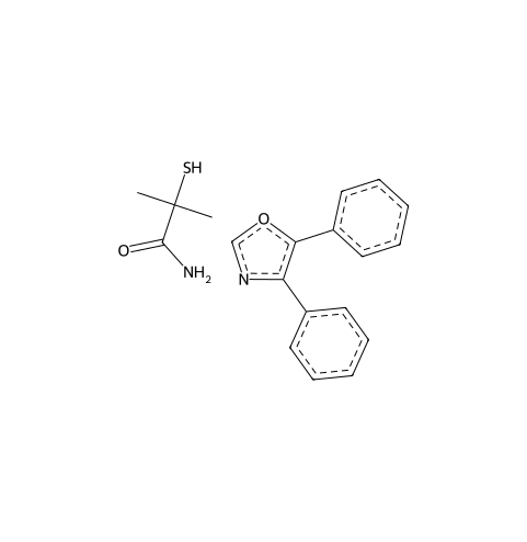 CC(C)(S)C(N)=O.c1ccc(-c2ncoc2-c2ccccc2)cc1